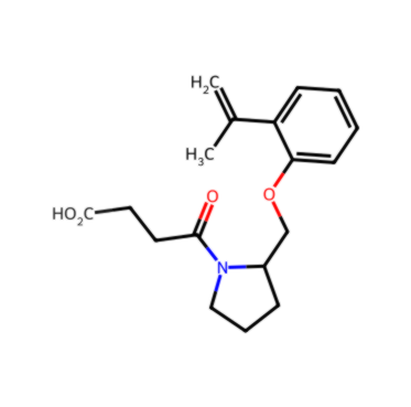 C=C(C)c1ccccc1OCC1CCCN1C(=O)CCC(=O)O